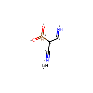 N#CC(C=N)[SH](=O)=O.[LiH]